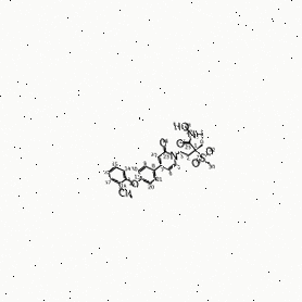 C[C@@](CCn1ccc(-c2ccc(Oc3ccccc3C#N)cc2)cc1=O)(C(=O)NO)S(C)(=O)=O